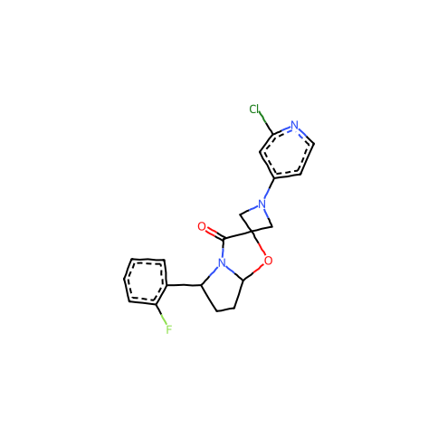 O=C1N2C(CCC2c2ccccc2F)OC12CN(c1ccnc(Cl)c1)C2